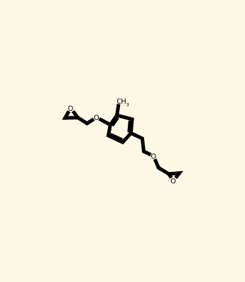 Cc1cc(CCOCC2CO2)ccc1OCC1CO1